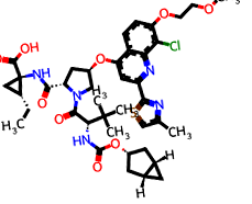 CC[C@@H]1C[C@]1(NC(=O)[C@@H]1C[C@@H](Oc2cc(-c3nc(C)cs3)nc3c(Cl)c(OCCOC)ccc23)CN1C(=O)[C@@H](NC(=O)O[C@@H]1C[C@@H]2C[C@@H]2C1)C(C)(C)C)C(=O)O